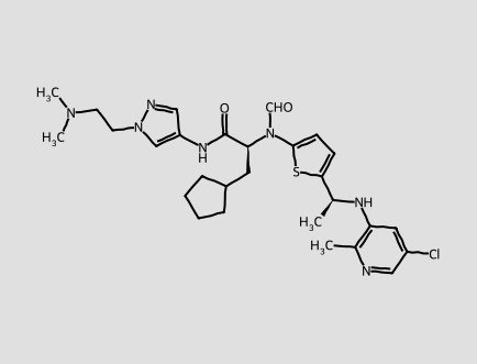 Cc1ncc(Cl)cc1N[C@@H](C)c1ccc(N(C=O)[C@@H](CC2CCCC2)C(=O)Nc2cnn(CCN(C)C)c2)s1